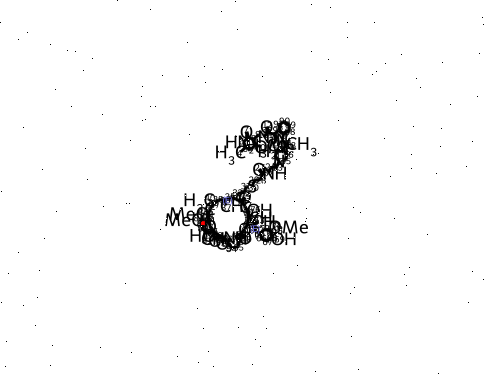 COc1cc(C)[nH]c(=O)c1CNC(=O)c1c(C)n([C@@H](C)C2CCN(CCNC(=O)CCSCCC[C@@H]3/C=C(\C)C[C@H](C)C[C@H](OC)[C@H]4O[C@@](O)(C(=O)C(=O)N5CCCC[C@H]5C(=O)O[C@H](/C(C)=C/[C@@H]5CC[C@@H](O)[C@H](OC)C5)[C@H](C)[C@@H](O)CC3=O)[C@H](C)C[C@@H]4OC)CC2)c2ccccc12